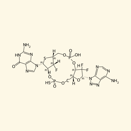 Nc1nc2c(ncn2[C@@H]2S[C@@H]3COP(=O)(O)O[C@@H]4[C@@H](COP(=O)(S)O[C@@H]2[C@H]3F)O[C@@H](n2nnc3c(N)ncnc32)C4(F)F)c(=O)[nH]1